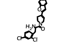 NC(Cc1ccc(Cl)cc1Cl)C(=O)N1CC=C(c2cc3ccccc3o2)CC1